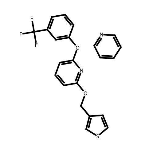 FC(F)(F)c1cccc(Oc2cccc(OCc3ccsc3)n2)c1.c1ccncc1